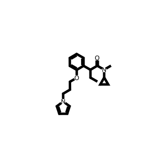 CCC(C(=O)N(C)C1CC1)c1ccccc1OCCCn1cccc1